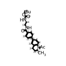 CC(=O)N1c2ccc(-c3ccc(C(=O)NCCNC(=O)OC(C)(C)C)cc3)cc2CC[C@@H]1C